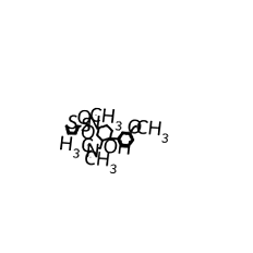 COc1cccc(C2(O)CCC(N(C)S(=O)(=O)c3cccs3)CC2CN(C)C)c1